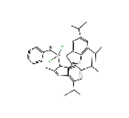 CC1=Cc2c(C(C)C)cc(C(C)C)cc2[CH]1[Zr]([Cl])([Cl])([SiH2]c1ccccc1)[CH]1C(C)=Cc2c(C(C)C)cc(C(C)C)cc21